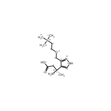 C[C@](N)(CC(=O)O)c1c[nH]nc1COCC[Si](C)(C)C